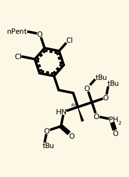 CCCCCOc1c(Cl)cc(CC[C@@](C)(NC(=O)OC(C)(C)C)C(O[PH2]=O)(OC(C)(C)C)OC(C)(C)C)cc1Cl